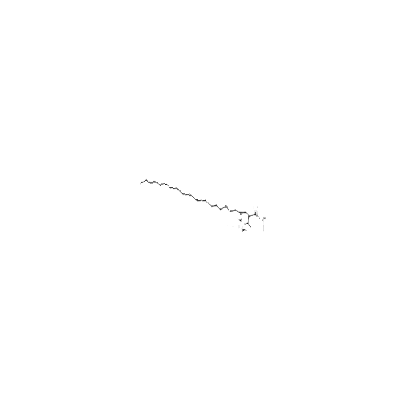 CCCCCCCCCCCCCCCCCCCCC(C(=O)NC)C(C)S(=O)(=O)O